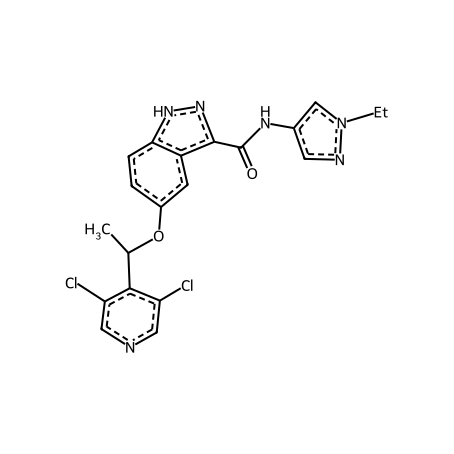 CCn1cc(NC(=O)c2n[nH]c3ccc(OC(C)c4c(Cl)cncc4Cl)cc23)cn1